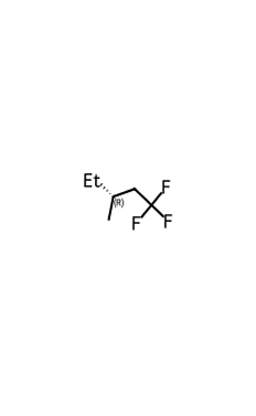 CC[C@@H](C)CC(F)(F)F